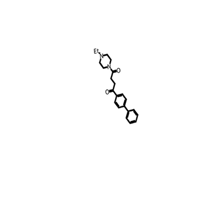 CCN1CCN(C(=O)CCC(=O)c2ccc(-c3ccccc3)cc2)CC1